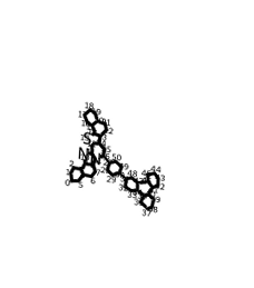 c1ccc2c(c1)ccc1c2nc2c3sc4c5ccccc5ccc4c3cc(-c3ccc(-c4ccc5c6ccccc6c6ccccc6c5c4)cc3)n12